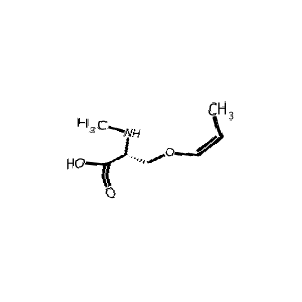 C/C=C\OC[C@@H](NC)C(=O)O